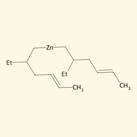 CC=CCC(CC)[CH2][Zn][CH2]C(CC)CC=CC